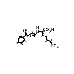 NCCCC[C@@H](NCCNC(=O)c1ccccc1)C(=O)O